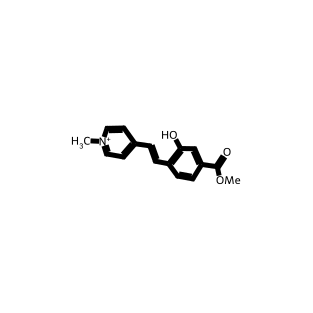 COC(=O)c1ccc(C=Cc2cc[n+](C)cc2)c(O)c1